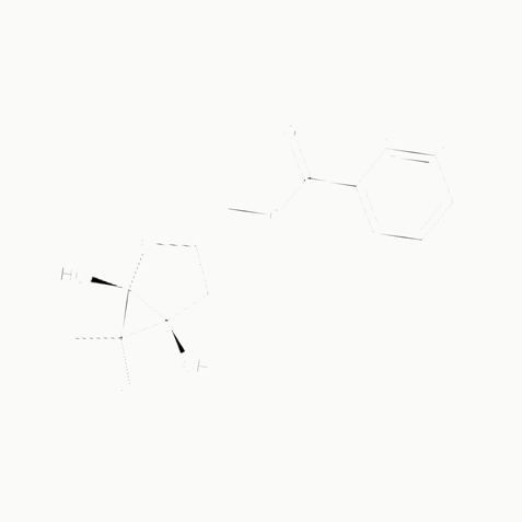 CC1(C)[C@]2(O)O[C@H](COC(=O)c3ccccc3)C[C@]12O